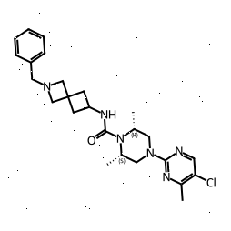 Cc1nc(N2C[C@@H](C)N(C(=O)NC3CC4(C3)CN(Cc3ccccc3)C4)[C@@H](C)C2)ncc1Cl